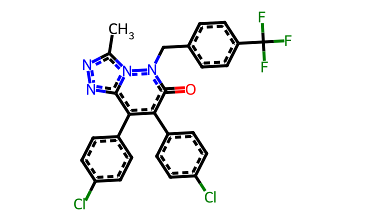 Cc1nnc2c(-c3ccc(Cl)cc3)c(-c3ccc(Cl)cc3)c(=O)n(Cc3ccc(C(F)(F)F)cc3)n12